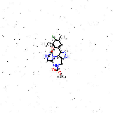 Cc1cc(-c2n[nH]c(CNC(=O)OC(C)(C)C)c2-n2cc[nH]c2=O)cc(C)c1F